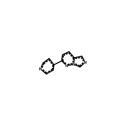 c1cc(-c2ccc3cncn3n2)ccn1